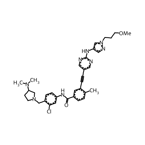 COCCCn1cc(Nc2ncc(C#Cc3cc(C(=O)Nc4ccc(CN5CCC(N(C)C)C5)c(Cl)c4)ccc3C)cn2)cn1